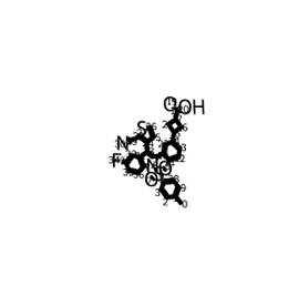 Cc1ccc(S(=O)(=O)n2c(-c3cccc(C4CC(C(=O)O)C4)c3)c(-c3ccsc3C#N)c3cc(F)ccc32)cc1